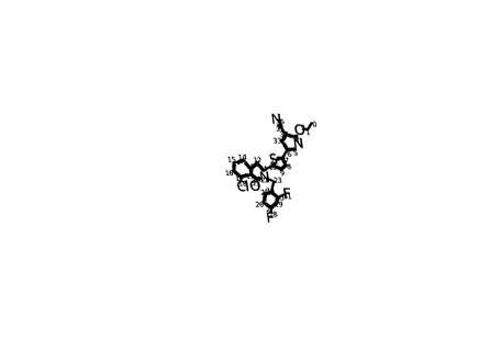 CCOc1ncc(-c2ccc(-c3cc4cccc(Cl)c4c(=O)n3Cc3ccc(F)cc3F)s2)cc1C#N